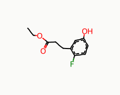 CCOC(=O)CCc1cc(O)ccc1F